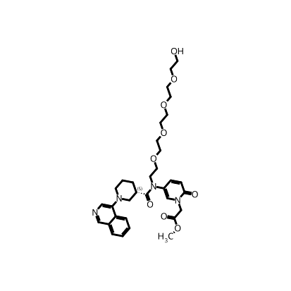 COC(=O)Cn1cc(N(CCOCCOCCOCCOCCO)C(=O)[C@H]2CCCN(c3cncc4ccccc34)C2)ccc1=O